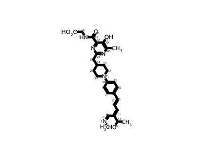 C\N=C/C(=C\C=C\c1ccc(N2CCC(Cc3nc(C)c(O)c(C(=O)NCC(=O)O)n3)CC2)cc1)C(C)O